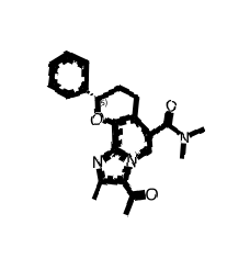 CC(=O)c1c(C)nc2c3c(c(C(=O)N(C)C)cn12)CC[C@@H](c1ccccc1)O3